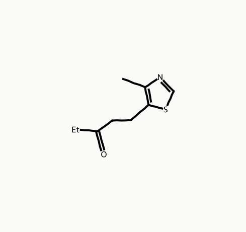 CCC(=O)CCc1scnc1C